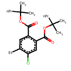 CCCC(C)(C)OC(=O)c1cc(Cl)c(CC)cc1C(=O)OC(C)(C)CCC